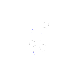 C[C@H](NC(CN)c1ccccc1)[C@@H](Cc1ccc(Cl)cc1)c1cccc(C#N)c1